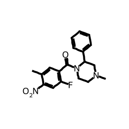 Cc1cc(C(=O)N2CCN(C)CC2c2ccccc2)c(F)cc1[N+](=O)[O-]